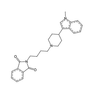 Cn1cc(C2CCN(CCCCN3C(=O)c4ccccc4C3=O)CC2)c2ccccc21